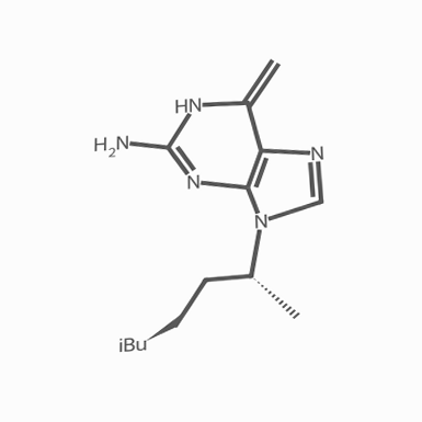 C=C1NC(N)=Nc2c1ncn2[C@H](C)CC[C@H](C)CC